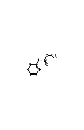 COC(=O)CC1=NC=CCC1